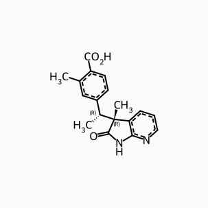 Cc1cc([C@@H](C)[C@@]2(C)C(=O)Nc3ncccc32)ccc1C(=O)O